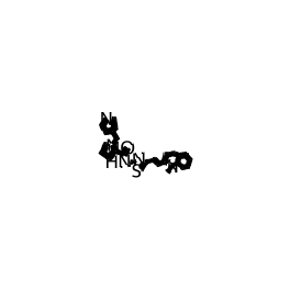 CN1c2ccccc2CCC1C=Cc1csc(NC(=O)c2cccn2Cc2ccncc2)n1